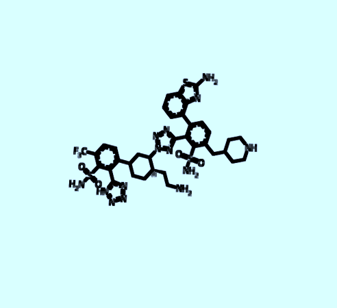 NCC[C@H]1CCC(c2ccc(C(F)(F)F)c(S(N)(=O)=O)c2-c2nnn[nH]2)CC1n1nnc(-c2c(-c3cccc4sc(N)nc34)ccc(CC3CCNCC3)c2S(N)(=O)=O)n1